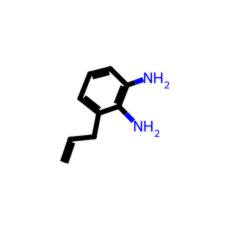 C=CCc1cccc(N)c1N